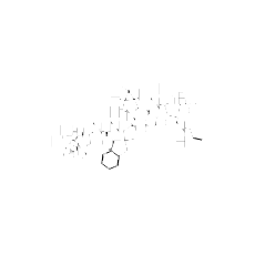 C=CCNC(=O)C(=O)C(CCCC)NC(=O)[C@@H]1[C@@H]2[C@H](CN1C(=O)[C@@H](NC(=O)N[C@H](CN(C)S(=O)(=O)CC)C(C)(C)C)C1(C)Cc3ccccc3C1)C2(C)C